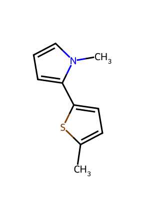 Cc1ccc(-c2cccn2C)s1